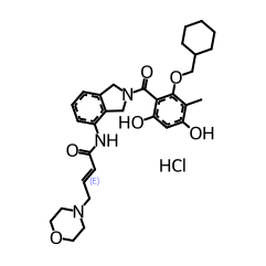 Cc1c(O)cc(O)c(C(=O)N2Cc3cccc(NC(=O)/C=C/CN4CCOCC4)c3C2)c1OCC1CCCCC1.Cl